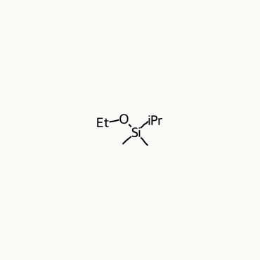 CCO[Si](C)(C)C(C)C